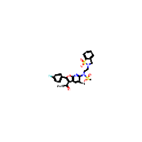 CCc1cc2c(C(=O)NC)c(-c3ccc(F)cc3)oc2nc1N(CCN1Cc2ccccc2S1(=O)=O)S(C)(=O)=O